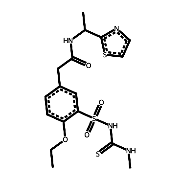 CCOc1ccc(CC(=O)NC(C)c2nccs2)cc1S(=O)(=O)NC(=S)NC